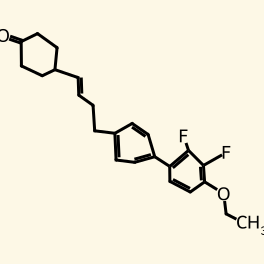 CCOc1ccc(-c2ccc(CCC=CC3CCC(=O)CC3)cc2)c(F)c1F